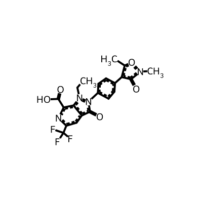 CCn1c2c(C(=O)O)nc(C(F)(F)F)cc2c(=O)n1-c1ccc(-c2c(C)on(C)c2=O)cc1